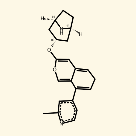 Cc1cc(C2=CCC=C3C=C(O[C@@H]4C[C@H]5CC[C@@H](C4)N5)OC=C32)ccn1